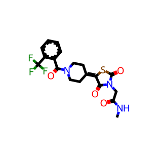 CNC(=O)CN1C(=O)SC(=C2CCN(C(=O)c3ccccc3C(F)(F)F)CC2)C1=O